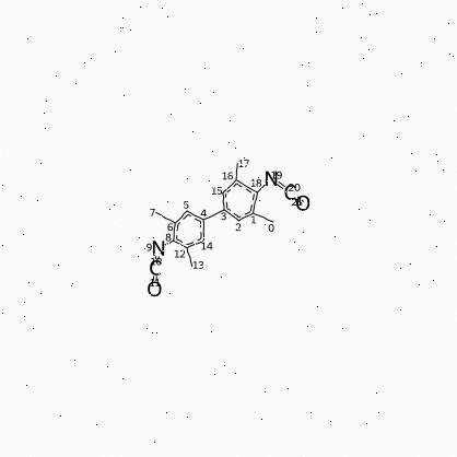 Cc1cc(-c2cc(C)c(N=C=O)c(C)c2)cc(C)c1N=C=O